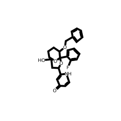 O=c1cc[nH]c(C(CCO)OC2(c3ccccc3F)OCCCC2OCc2ccccc2)c1